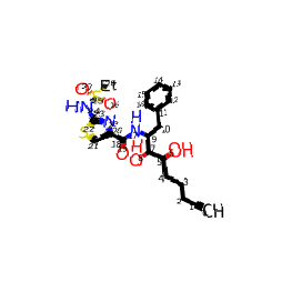 C#CCCCC(O)C(O)C(Cc1ccccc1)NC(=O)c1csc(NS(=O)(=O)CC)n1